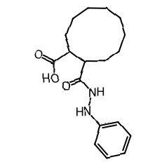 O=C(O)C1CCCCCCCCC1C(=O)NNc1ccccc1